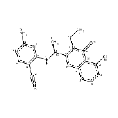 CCn1c([C@H](C)Nc2nc(N)ncc2C#N)cc2cccc(Cl)c2c1=O